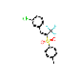 Cc1ccc(S(=O)(=O)C(=Cc2cccc(Cl)c2)C(F)(F)F)cc1